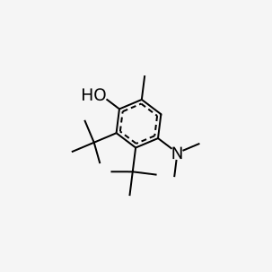 Cc1cc(N(C)C)c(C(C)(C)C)c(C(C)(C)C)c1O